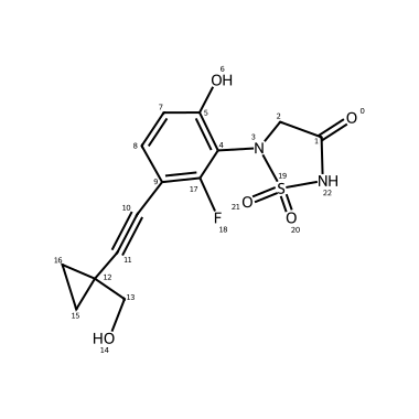 O=C1CN(c2c(O)ccc(C#CC3(CO)CC3)c2F)S(=O)(=O)N1